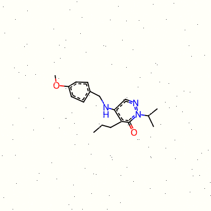 CCCc1c(NCc2ccc(OC)cc2)cnn(C(C)C)c1=O